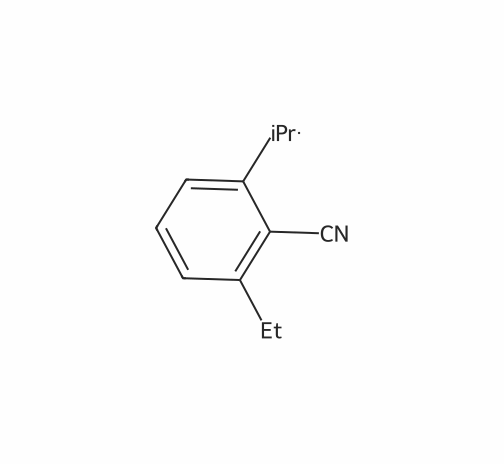 CCc1cccc([C](C)C)c1C#N